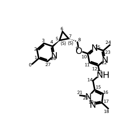 Cc1ccc([C@H]2C[C@@H]2COc2cc(NCc3cc(C)nn3C)nc(C)n2)nc1